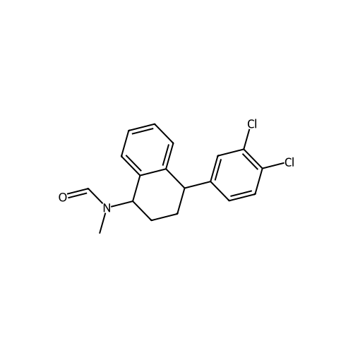 CN(C=O)C1CCC(c2ccc(Cl)c(Cl)c2)c2ccccc21